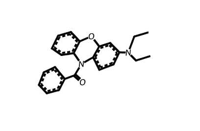 CCN(CC)c1ccc2c(c1)Oc1ccccc1N2C(=O)c1ccccc1